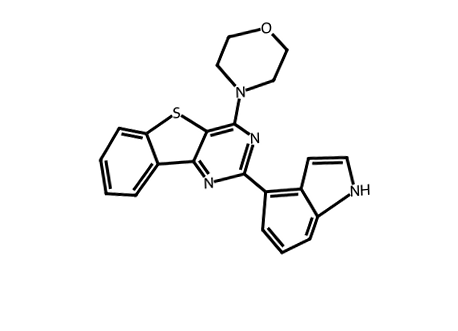 c1cc(-c2nc(N3CCOCC3)c3sc4ccccc4c3n2)c2cc[nH]c2c1